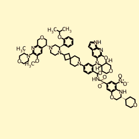 COc1cc2c(nc1N1CCOC[C@@H]1C)COC[C@@H]2N1CCN(C2CC3(CCN(c4ccc(C(=O)NS(=O)(=O)c5cc6c(c([N+](=O)[O-])c5)N[C@H](C5CCOCC5)CO6)c(N5c6cc7cc[nH]c7nc6O[C@H]6COCC[C@@H]65)c4)CC3)C2)[C@H](c2ccccc2OC(C)C)C1